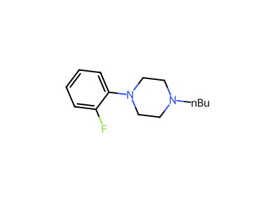 [CH2]CCCN1CCN(c2ccccc2F)CC1